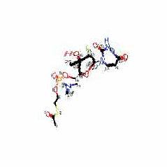 CC(=O)SCCOP(=O)(OC[C@H]1O[C@@H](n2ccc(=O)[nH]c2=O)[C@@H](F)C1(C)O)N(C)C